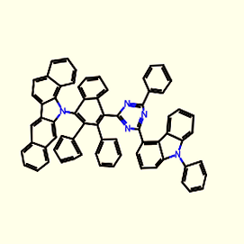 c1ccc(-c2nc(-c3c(-c4ccccc4)c(-c4ccccc4)c(-n4c5cc6ccccc6cc5c5ccc6ccccc6c54)c4ccccc34)nc(-c3cccc4c3c3ccccc3n4-c3ccccc3)n2)cc1